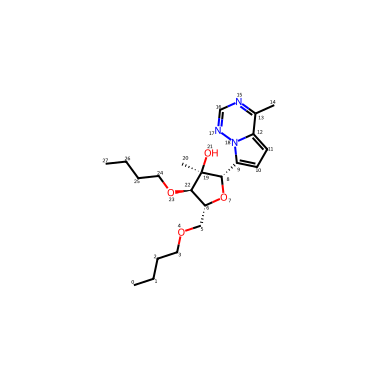 CCCCOC[C@H]1O[C@@H](c2ccc3c(C)ncnn23)[C@](C)(O)[C@@H]1OCCCC